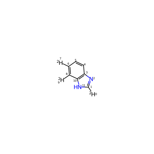 [2H]c1nc2ccc([2H])c([2H])c2[nH]1